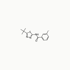 [CH2]c1cccc(C(=O)Nc2nnc(C(C)(C)C)s2)c1